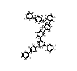 c1ccc(-c2ccc(-c3nc(-c4ccccc4)nc(-c4ccc5oc6c(ccc7c8ccccc8n(-c8ccc(-c9ccccc9)cc8)c76)c5c4)n3)cc2)cc1